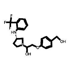 OCc1ccc(OCC(O)N2CC[C@H](Nc3ccccc3C(F)(F)F)C2)cc1